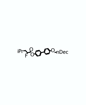 CCCCCCCCCCCOc1ccc(-c2ccc(OC(=O)C(F)CC(C)C)cc2)cc1